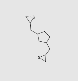 C1CC(CC2CS2)CC1CC1CS1